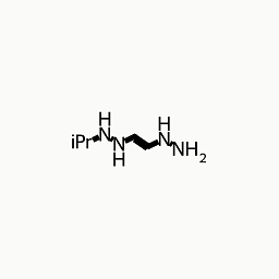 CC(C)NNC=CNN